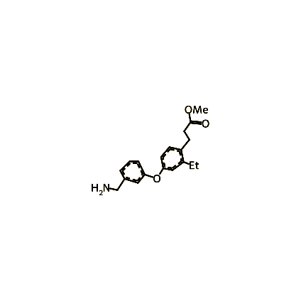 CCc1cc(Oc2cccc(CN)c2)ccc1CCC(=O)OC